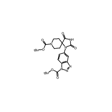 CC(C)(C)OC(=O)N1CCC2(CC1)C(=O)NC(=O)N2c1ccc2c(c1)nnn2C(=O)OC(C)(C)C